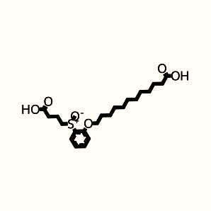 O=C(O)CCCCCCCCCCCOc1ccccc1[S+]([O-])CCCC(=O)O